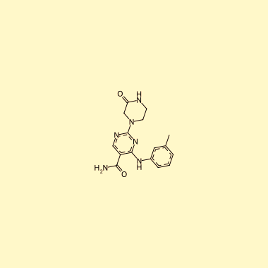 Cc1cccc(Nc2nc(N3CCNC(=O)C3)ncc2C(N)=O)c1